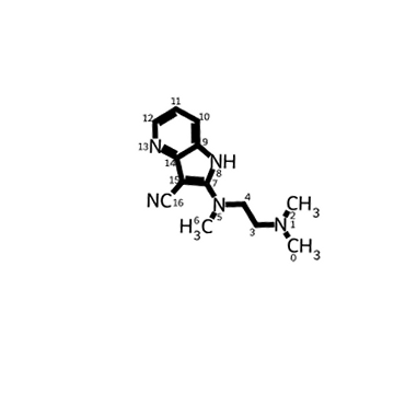 CN(C)CCN(C)c1[nH]c2cccnc2c1C#N